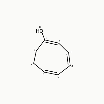 OC1=CC=CC=CCC1